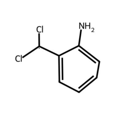 Nc1ccccc1[C](Cl)Cl